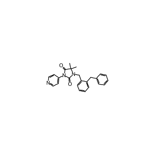 CC1(C)C(=O)N(c2ccncc2)C(=O)N1Cc1ccccc1Cc1ccccc1